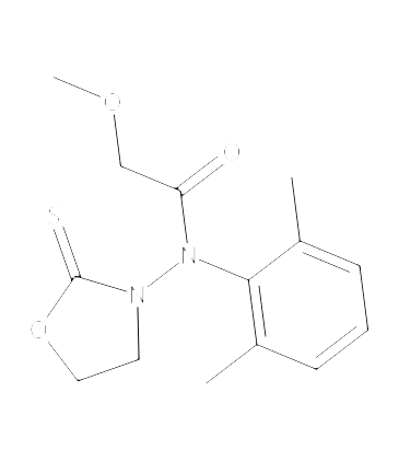 COCC(=O)N(c1c(C)cccc1C)N1CCOC1=S